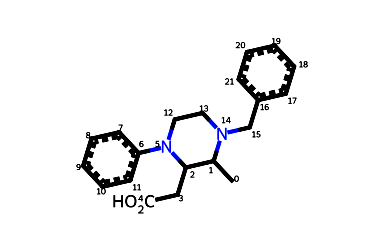 CC1C(CC(=O)O)N(c2ccccc2)CCN1Cc1ccccc1